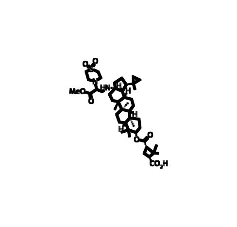 COC(=O)C(CN[C@]12CC[C@@H](C3(C)CC3)[C@@H]1[C@H]1CC[C@@H]3[C@@]4(C)CC[C@H](OC(=O)[C@H]5C[C@@H](C(=O)O)C5(C)C)C(C)(C)[C@@H]4CC[C@@]3(C)[C@]1(C)CC2)N1CCS(=O)(=O)CC1